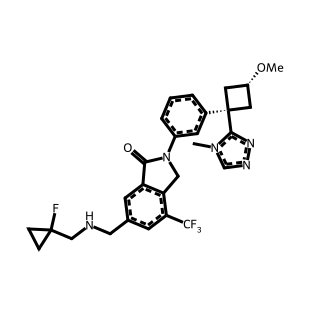 CO[C@H]1C[C@](c2cccc(N3Cc4c(cc(CNCC5(F)CC5)cc4C(F)(F)F)C3=O)c2)(c2nncn2C)C1